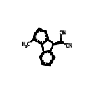 Cc1cccc2c1-c1ccccc1C2=C(C#N)C#N